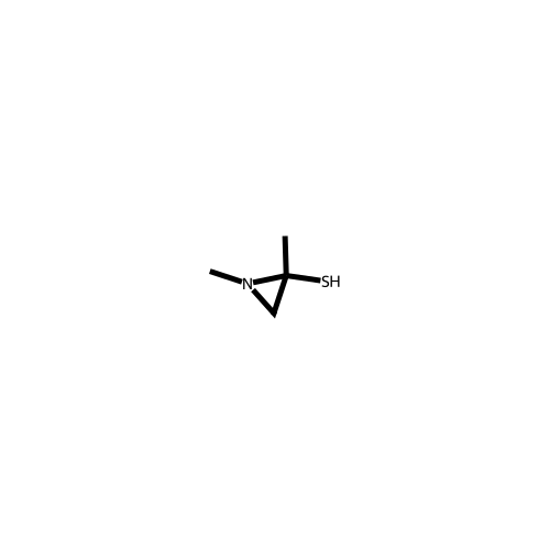 CN1CC1(C)S